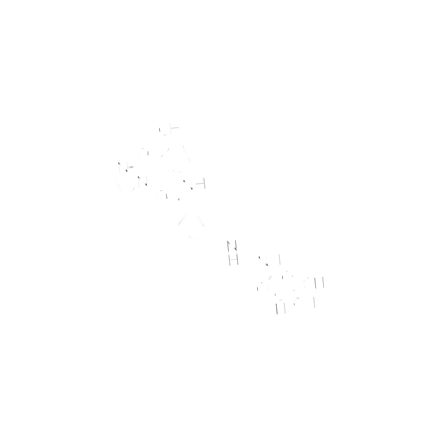 Cc1ccc(NC(=O)c2cccc(CNCCNC(=O)OC(C)(C)C)c2)cc1Oc1ncccn1